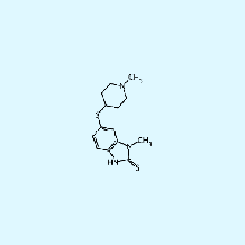 CN1CCC(Sc2ccc3[nH]c(=S)n(C)c3c2)CC1